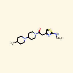 CC1CCN(C2CCN(C(=O)Cc3csc(NC(=O)O)n3)CC2)CC1